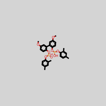 COc1ccc(OP(O)OC2=C=C=C(C)C=C2C)c(-c2cc(OC)ccc2OP(O)Oc2ccc(C)cc2C)c1